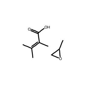 CC(C)=C(C)C(=O)O.CC1CO1